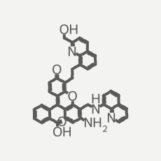 Nc1ccc2c(-c3ccccc3C(=O)O)c3ccc(=O)c(CCc4cccc5ccc(CO)nc45)c-3oc2c1CNc1cccc2cccnc12